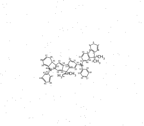 CC1(C)C2=C(CCC=C2)c2ccc(N(c3ccccc3)c3ccc4c(c3)C(C)(C)c3cc5c(cc3-4)C3CC=CC=C3N5c3ccccc3)cc21